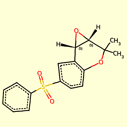 CC1(C)Oc2ccc(S(=O)(=O)c3ccccc3)cc2[C@@H]2O[C@@H]21